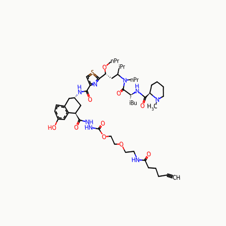 C#CCCCC(=O)NCCOCCOC(=O)NNC(=O)[C@@H]1C[C@@H](NC(=O)c2csc([C@@H](CC(C(C)C)N(CCC)C(=O)[C@@H](NC(=O)[C@H]3CCCCN3C)[C@@H](C)CC)OCCC)n2)Cc2ccc(O)cc21